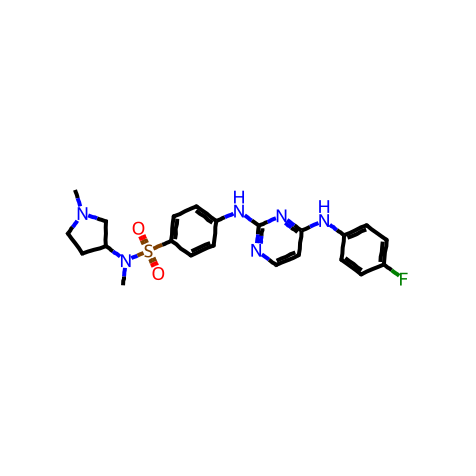 CN1CCC(N(C)S(=O)(=O)c2ccc(Nc3nccc(Nc4ccc(F)cc4)n3)cc2)C1